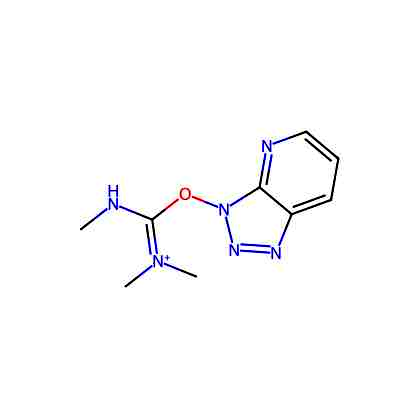 CNC(On1nnc2cccnc21)=[N+](C)C